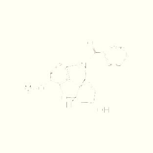 COc1ccc2c3c1O[C@H]1CC(O)C=C[C@@]31CCN(C(=O)c1ccccc1)C2